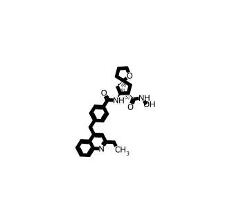 CCc1cc(Cc2ccc(C(=O)N[C@@H]3C[C@@]4(CCCO4)C[C@@H]3C(=O)NO)cc2)c2ccccc2n1